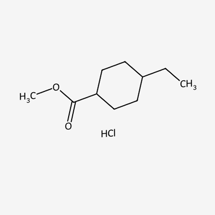 CCC1CCC(C(=O)OC)CC1.Cl